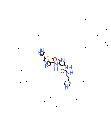 Cc1ncc(NC(=O)NCCC2CCN(C)CC2)cc1NC(=O)c1cnn2cc(-c3cnn(C)c3)sc12